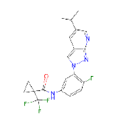 CC(C)c1cnc2nn(-c3cc(NC(=O)C4(C(F)(F)F)CC4)ccc3F)cc2c1